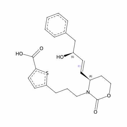 O=C(O)c1ccc(CCCN2C(=O)OCC[C@@H]2/C=C/[C@@H](O)Cc2ccccc2)s1